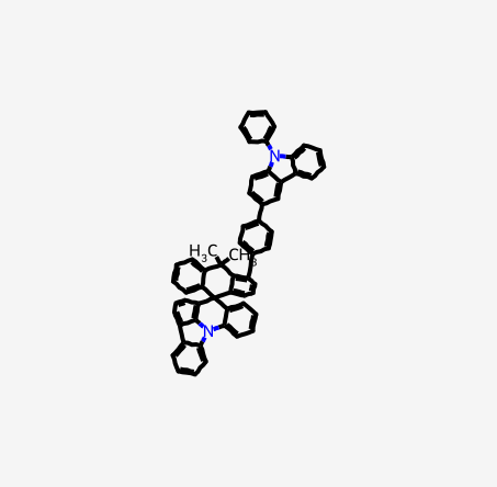 CC1(C)c2ccccc2C2(c3ccccc3-n3c4ccccc4c4cccc2c43)c2cccc(-c3ccc(-c4ccc5c(c4)c4ccccc4n5-c4ccccc4)cc3)c21